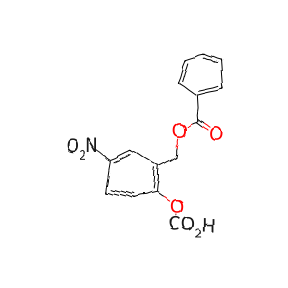 O=C(O)Oc1ccc([N+](=O)[O-])cc1COC(=O)c1ccccc1